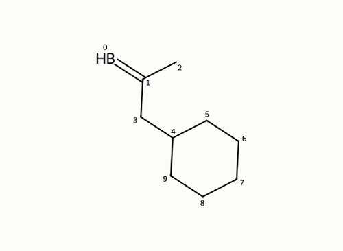 B=C(C)CC1CCCCC1